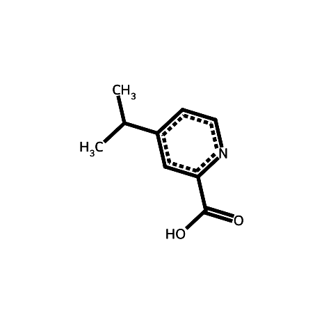 CC(C)c1ccnc(C(=O)O)c1